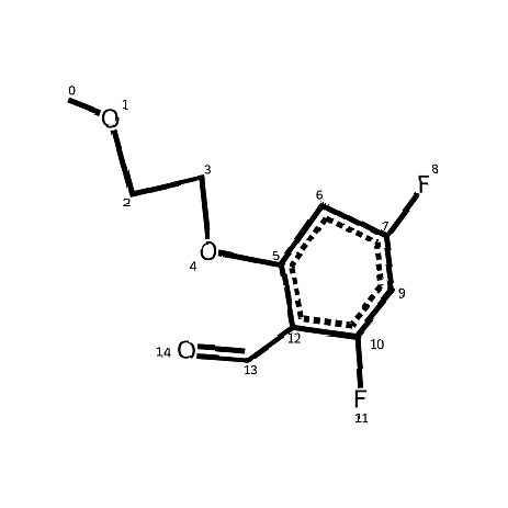 COCCOc1cc(F)cc(F)c1C=O